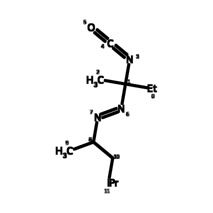 CCC(C)(N=C=O)N=NC(C)CC(C)C